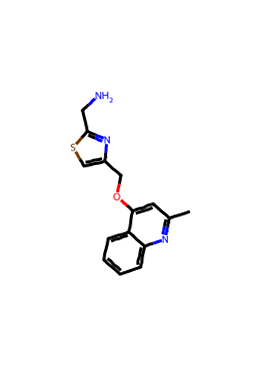 Cc1cc(OCc2csc(CN)n2)c2ccccc2n1